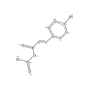 CCc1ccc(C=CC(=O)OC(=O)Cl)cc1